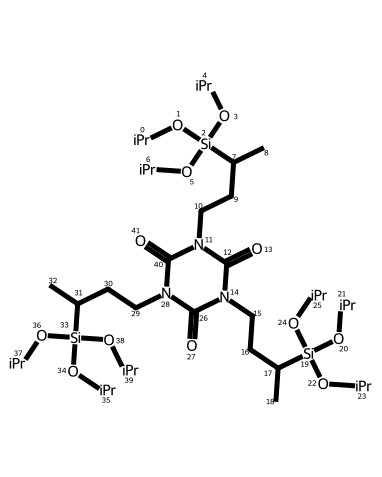 CC(C)O[Si](OC(C)C)(OC(C)C)C(C)CCn1c(=O)n(CCC(C)[Si](OC(C)C)(OC(C)C)OC(C)C)c(=O)n(CCC(C)[Si](OC(C)C)(OC(C)C)OC(C)C)c1=O